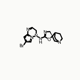 Brc1cc2n(c1)N(NC1=NC[C@@]3(CN4CCC3CC4)O1)CC=N2